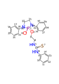 O=P1(OCCNC(=S)Nc2ccccc2)N(c2ccccc2)CCN1c1ccccc1